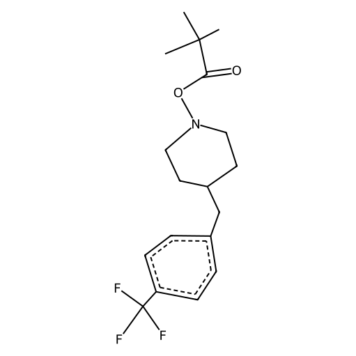 CC(C)(C)C(=O)ON1CCC(Cc2ccc(C(F)(F)F)cc2)CC1